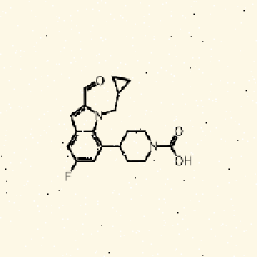 O=Cc1cc2cc(F)cc(C3CCN(C(=O)O)CC3)c2n1CC1CC1